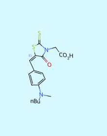 CCCCN(C)c1ccc(/C=C2/SC(=S)N(CC(=O)O)C2=O)cc1